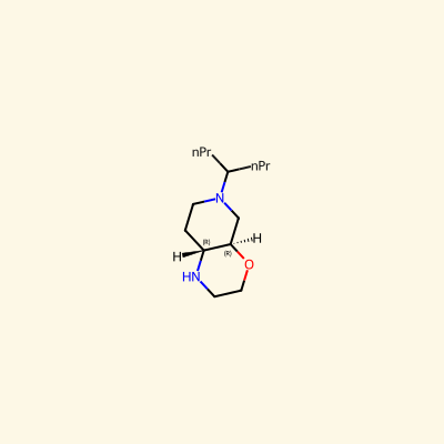 CCCC(CCC)N1CC[C@H]2NCCO[C@@H]2C1